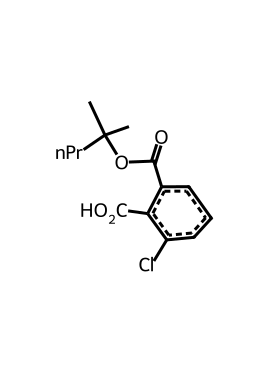 CCCC(C)(C)OC(=O)c1cccc(Cl)c1C(=O)O